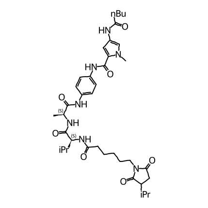 CCCCC(=O)Nc1cc(C(=O)Nc2ccc(NC(=O)[C@H](C)NC(=O)[C@@H](NC(=O)CCCCCN3C(=O)CC(C(C)C)C3=O)C(C)C)cc2)n(C)c1